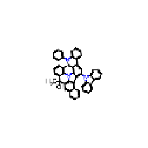 CC1(C)c2cccc3c2-n2c4c5c(cc(-n6c7ccccc7c7ccccc76)c4c4c6ccccc6cc1c42)-c1ccccc1N(c1ccccc1)B35